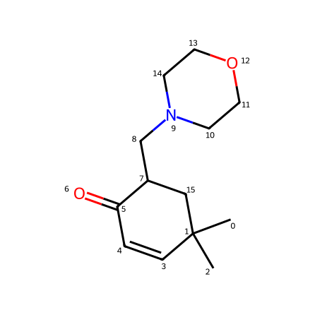 CC1(C)C=CC(=O)C(CN2CCOCC2)C1